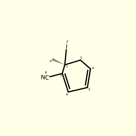 C[C@]1(I)CC=CC=C1C#N